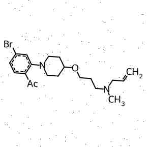 C=CCN(C)CCCOC1CCN(c2cc(Br)ccc2C(C)=O)CC1